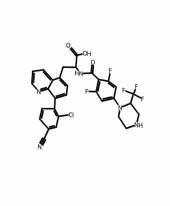 N#Cc1ccc(-c2ccc(CC(NC(=O)c3c(F)cc(N4CCNCC4C(F)(F)F)cc3F)C(=O)O)c3cccnc23)c(Cl)c1